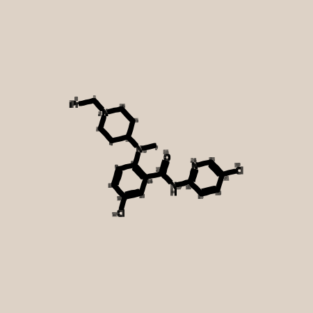 CC(C)CN1CCC(N(C)c2ccc(Cl)cc2C(=O)Nc2ccc(Cl)cn2)CC1